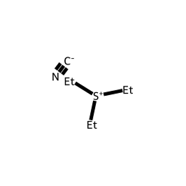 CC[S+](CC)CC.[C-]#N